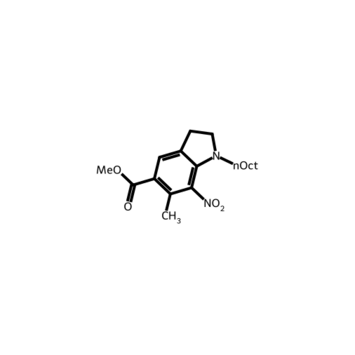 CCCCCCCCN1CCc2cc(C(=O)OC)c(C)c([N+](=O)[O-])c21